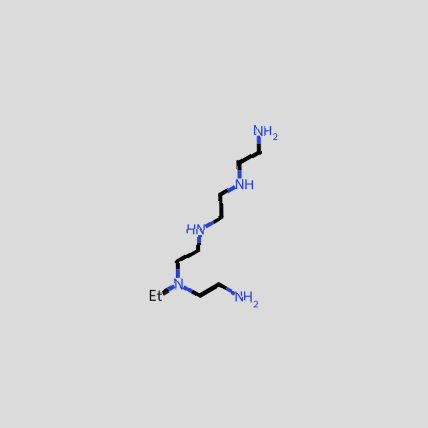 CCN(CCN)CCNCCNCCN